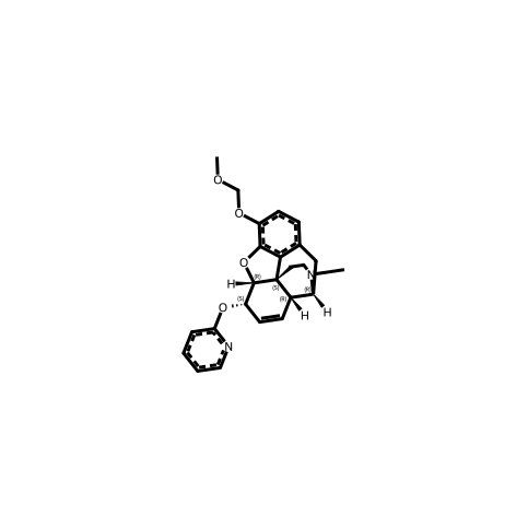 COCOc1ccc2c3c1O[C@H]1[C@@H](Oc4ccccn4)C=C[C@H]4[C@@H](C2)N(C)CC[C@@]341